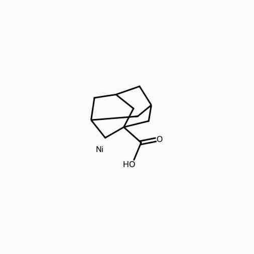 O=C(O)C12CC3CC(CC(C3)C1)C2.[Ni]